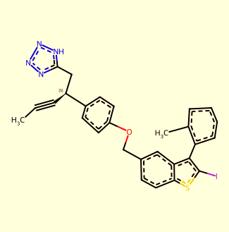 CC#C[C@@H](Cc1nnn[nH]1)c1ccc(OCc2ccc3sc(I)c(-c4ccccc4C)c3c2)cc1